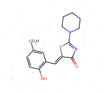 O=C1N=C(N2CCCCC2)SC1=Cc1cc(C(=O)O)ccc1O